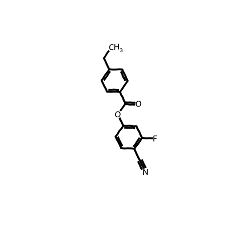 CCc1ccc(C(=O)Oc2ccc(C#N)c(F)c2)cc1